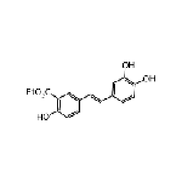 CCOC(=O)c1cc(C=Cc2ccc(O)c(O)c2)ccc1O